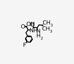 CC(C)CC(N)C(=O)NC(Cc1cccc(F)c1)C(=O)O